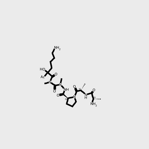 CC(=O)C(O)(CCCCN)C(=O)N(C)C(=O)N(C)NC(=O)[C@@H]1CCCN1C(=O)[C@H](C)NC(=O)[C@H](C)N